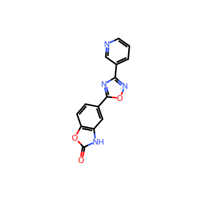 O=c1[nH]c2cc(-c3nc(-c4cccnc4)no3)ccc2o1